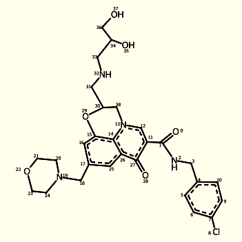 O=C(NCc1ccc(Cl)cc1)c1cn2c3c(cc(CN4CCOCC4)cc3c1=O)OC(CNCC(O)CO)C2